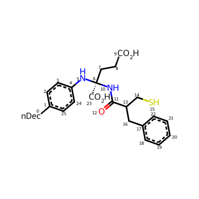 CCCCCCCCCCc1ccc(N[C@@](CCC(=O)O)(NC(=O)C(CS)Cc2ccccc2)C(=O)O)cc1